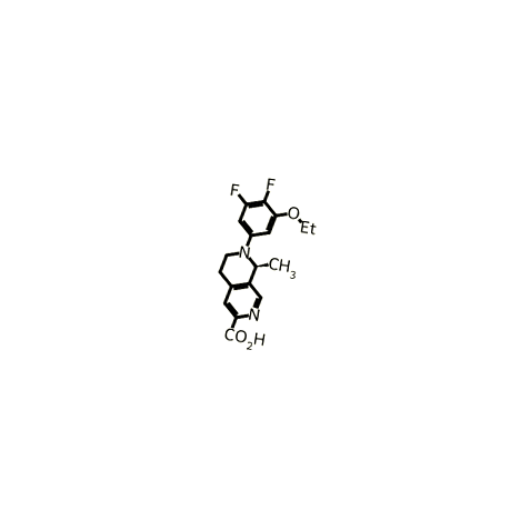 CCOc1cc(N2CCc3cc(C(=O)O)ncc3[C@@H]2C)cc(F)c1F